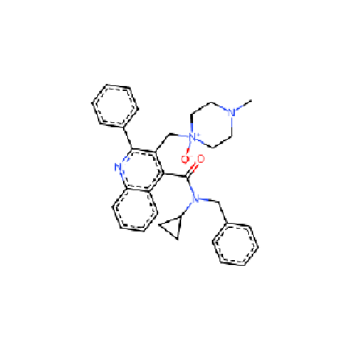 CN1CC[N+]([O-])(Cc2c(-c3ccccc3)nc3ccccc3c2C(=O)N(Cc2ccccc2)C2CC2)CC1